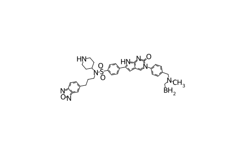 BCN(C)Cc1ccc(-n2cc3cc(-c4ccc(S(=O)(=O)N(CCCc5ccc6nonc6c5)C5CCNCC5)cc4)[nH]c3nc2=O)cc1